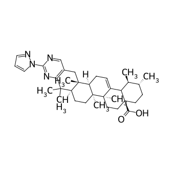 C[C@@H]1CC[C@]2(C(=O)O)CC[C@]3(C)C(=CC[C@@H]4[C@@]5(C)Cc6cnc(-n7cccn7)nc6C(C)(C)[C@@H]5CC[C@@]43C)C2[C@H]1C